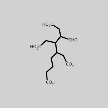 O=CC(CC(=O)O)C(CC(=O)O)C(CCCC(=O)O)CC(=O)O